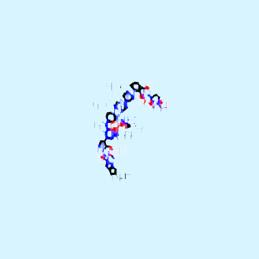 C=CC(=O)Nc1cc(Nc2nc(-c3ccnc(N4CCn5c(cc6c5CC(C)(C)C6)C4=O)c3CO)cn(C)c2=O)ccc1N1CCN(C2CCN(c3cccc4c3C(=O)N(C3CCC(=O)N(C)C3=O)C4=O)[C@H](C)C2)C[C@@H]1C